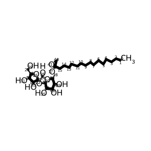 CCCCCCCCCCCCCCCCC1(OC[C@H]2O[C@H](O[C@]3(CO)O[C@H](CO)[C@@H](O)[C@@H]3O)[C@H](O)[C@@H](O)[C@@H]2O)CO1